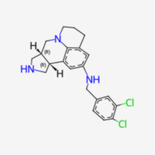 Clc1ccc(CNc2cc3c4c(c2)[C@@H]2CNC[C@@H]2CN4CCC3)cc1Cl